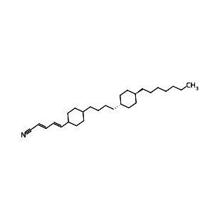 CCCCCCC[C@H]1CC[C@H](CCCCC2CCC(C=CC=CC#N)CC2)CC1